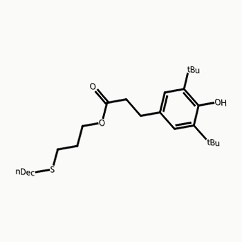 CCCCCCCCCCSCCCOC(=O)CCc1cc(C(C)(C)C)c(O)c(C(C)(C)C)c1